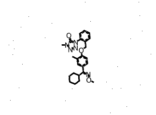 CON=C(c1ccc(OCc2ccccc2-n2nnn(C)c2=O)c(C)c1)C1CCCCC1